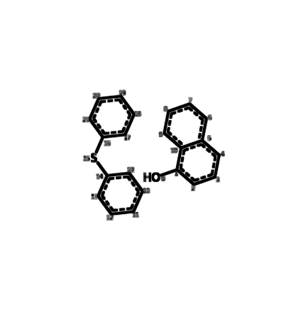 Oc1cccc2ccccc12.c1ccc(Sc2ccccc2)cc1